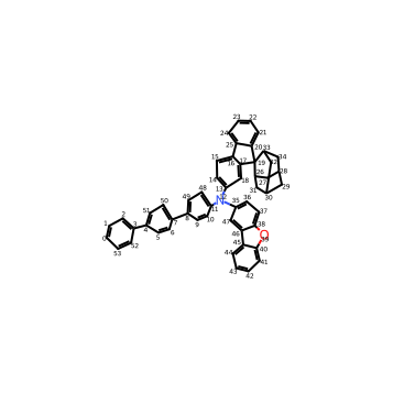 c1ccc(-c2ccc(-c3ccc(N(c4ccc5c(c4)C4(c6ccccc6-5)C5CC6CC(C5)CC4C6)c4ccc5oc6ccccc6c5c4)cc3)cc2)cc1